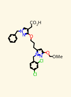 COCOc1cc(CCCOc2nn(Cc3ccccc3)cc2CC(=O)O)n(Cc2ccc(Cl)cc2Cl)n1